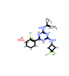 C=C(Nc1nc(NC2CC(F)(F)C2)nc(C2=C(F)[C@@H](O)CCC2)n1)C(F)(F)F